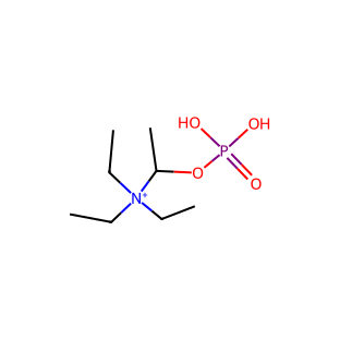 CC[N+](CC)(CC)C(C)OP(=O)(O)O